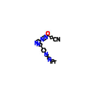 CC(C)N1CC2(CN(c3ccc(-c4cc5c(N6CCN(C(=O)C7CC(C#N)C7)CC6)ccnn5c4)cc3)C2)C1